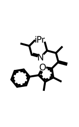 C=C(c1oc(-c2ccccc2)c(C)c1C)C(C)C(C)N=CC(C)C(C)C